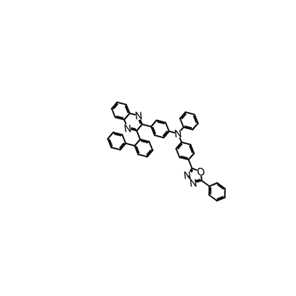 c1ccc(-c2nnc(-c3ccc(N(c4ccccc4)c4ccc(-c5nc6ccccc6nc5-c5ccccc5-c5ccccc5)cc4)cc3)o2)cc1